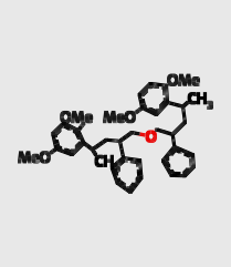 COc1ccc(OC)c(C(C)CC(COCC(CC(C)c2cc(OC)ccc2OC)c2ccccc2)c2ccccc2)c1